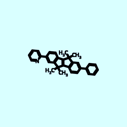 CC1(C)C2=C(c3ccc(-c4ccccc4)cc31)C(C)(C)c1cc(-c3ccccn3)ccc12